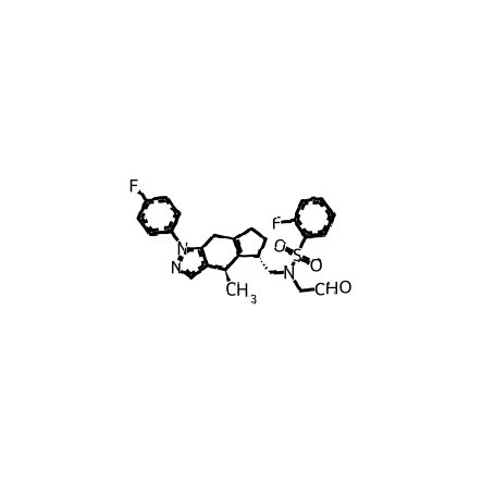 C[C@@H]1C2=C(CC[C@@H]2CN(CC=O)S(=O)(=O)c2ccccc2F)Cc2c1cnn2-c1ccc(F)cc1